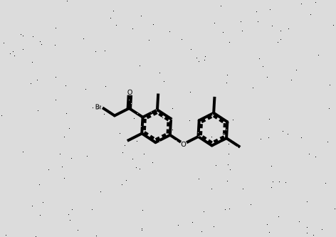 Cc1cc(C)cc(Oc2cc(C)c(C(=O)CBr)c(C)c2)c1